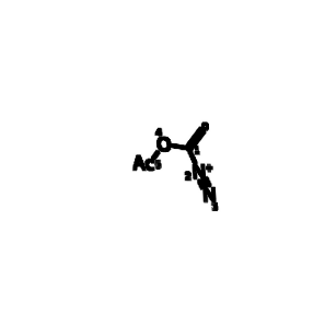 C=C([N+]#N)OC(C)=O